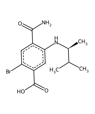 CC(C)[C@H](C)Nc1cc(C(=O)O)c(Br)cc1C(N)=O